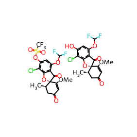 COC1=CC(=O)C[C@@H](C)[C@]12Oc1c(Cl)c(O)cc(OC(F)F)c1C2=O.COC1=CC(=O)C[C@@H](C)[C@]12Oc1c(Cl)c(OS(=O)(=O)C(F)(F)F)cc(OC(F)F)c1C2=O